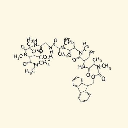 CC(C)CC(NC(=O)C(C)N(C)C(=O)OCC1c2ccccc2-c2ccccc21)C(=O)N(C)C(CC(C)C)C(=O)N(C)C(C)C(=O)NCC(=O)NC(C)(C)C(=O)N(C)C(CC(=O)O)C(=O)N(C)C